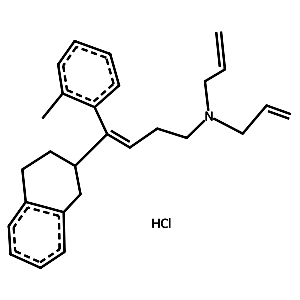 C=CCN(CC=C)CCC=C(c1ccccc1C)C1CCc2ccccc2C1.Cl